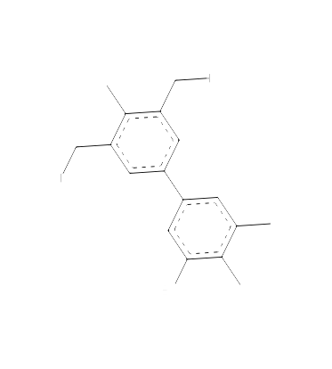 CCc1cc(-c2cc(CI)c(C)c(CI)c2)cc(C)c1C